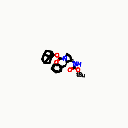 CC(C)(C)OC(=O)N[C@@H]1CCN(C(=O)OC2C3CC4CC(C3)CC2C4)[C@H]1Cc1ccccc1